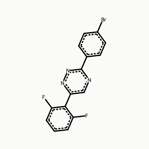 Fc1cccc(F)c1-c1cnc(-c2ccc(Br)cc2)nn1